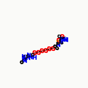 CN[C@@H](C)C(=O)N[C@H](C(=O)N1CCC[C@H]1c1nc(-c2ccc(OCCOCCOCCOCCOCCOC3CCC(Nc4nccc(-c5cnn(Cc6ccccc6)c5N(C)C)n4)CC3)c3ccccc23)cs1)C1CCCCC1